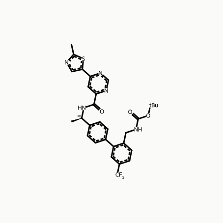 Cc1ncc(-c2cc(C(=O)N[C@H](C)c3ccc(-c4cc(C(F)(F)F)ccc4CNC(=O)OC(C)(C)C)cc3)ncn2)s1